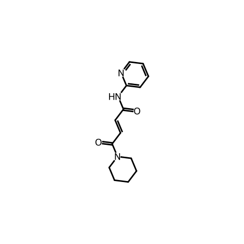 O=C(C=CC(=O)N1CCCCC1)Nc1ccccn1